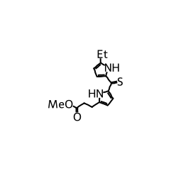 CCc1ccc(C(=S)c2ccc(CCC(=O)OC)[nH]2)[nH]1